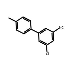 [C-]#[N+]c1cc(Cl)cc(-c2ccc(C)cc2)c1